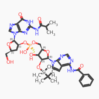 CC(C)C(=O)Nc1nc2c(ncn2[C@@H]2O[C@H](CO)C[C@@H]2OP(O)(=S)OC[C@H]2O[C@@H](n3ccc4c(NC(=O)c5ccccc5)ncnc43)[C@@H](O[Si](C)(C)C(C)(C)C)C2O)c(=O)[nH]1